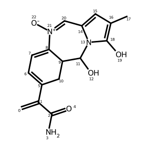 C=C(C(N)=O)C1=CC=C2C(C1)C(O)n1c(cc(C)c1O)C=[N+]2[O-]